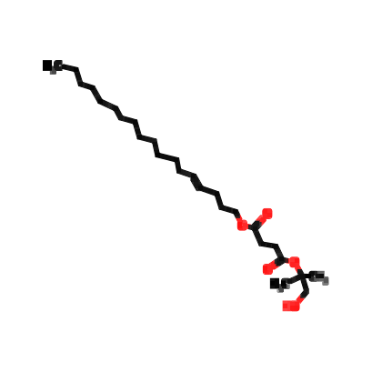 CCCCCCCCCCCCC/C=C/CCCOC(=O)CCC(=O)OC(C)(C)CO